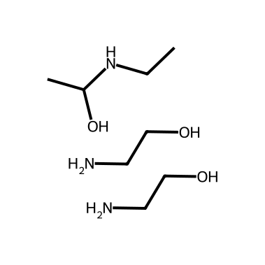 CCNC(C)O.NCCO.NCCO